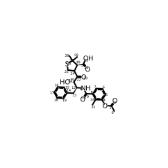 CC(=O)Oc1cccc(C(=O)N[C@@H](Cc2ccccc2)[C@H](O)C(=O)C2CSC(C)(C)[C@H]2C(=O)O)c1C